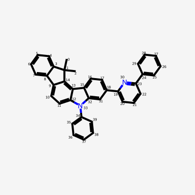 CC1(C)c2ccccc2-c2ccc3c(c21)c1ccc(-c2cccc(-c4ccccc4)n2)cc1n3-c1ccccc1